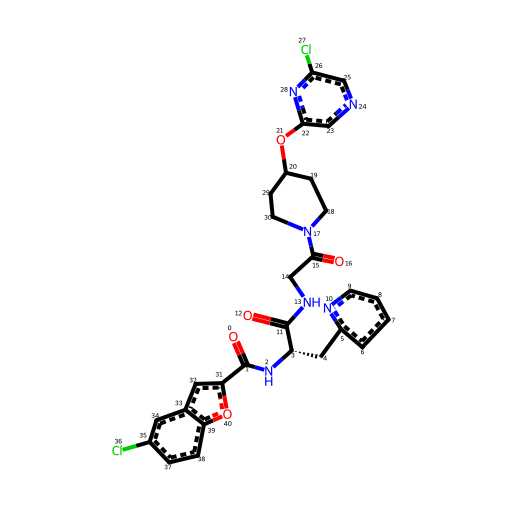 O=C(N[C@@H](Cc1ccccn1)C(=O)NCC(=O)N1CCC(Oc2cncc(Cl)n2)CC1)c1cc2cc(Cl)ccc2o1